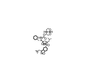 CC(C)CN(C[C@@H](O)[C@H](Cc1ccccc1)NC(=O)OC1CO[C@H]2OCC[C@@H]12)S(=O)(=O)c1ccc2onc(CN(C)C)c2c1